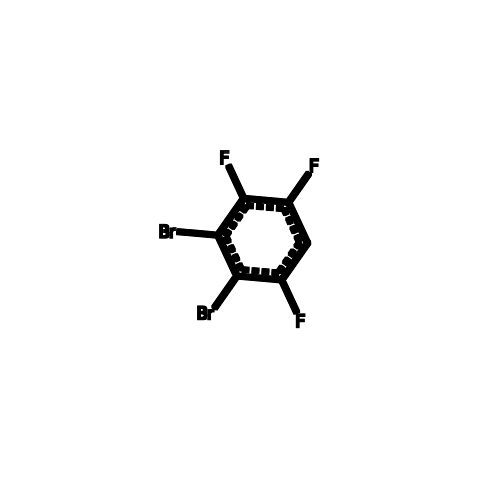 Fc1cc(F)c(Br)c(Br)c1F